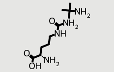 CC(C)(C)N.NC(=O)NCCC[C@H](N)C(=O)O